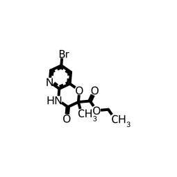 CCOC(=O)C1(C)Oc2cc(Br)cnc2NC1=O